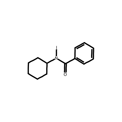 O=C(c1ccccc1)N(I)C1CCCCC1